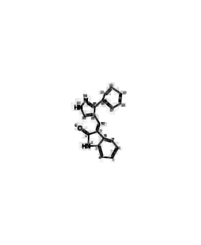 O=C1Nc2ccccc2C1=Cc1c[nH]nc1-c1ccccc1